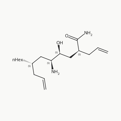 C=CC[C@H](CCCCCC)C[C@H](N)[C@@H](O)C[C@H](CC=C)C(N)=O